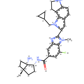 Cn1c(-c2cc3ccc4c(c3n2CC2CC2)CCN4)nc2cc(C(=O)N[C@@H]3CC[C@@H]4CC[C@]43N)cc(F)c21